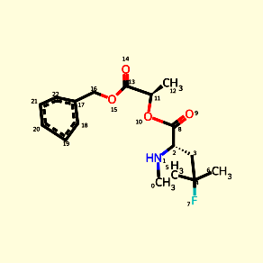 CN[C@@H](CC(C)(C)F)C(=O)O[C@H](C)C(=O)OCc1ccccc1